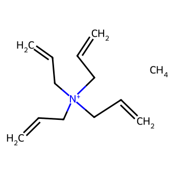 C.C=CC[N+](CC=C)(CC=C)CC=C